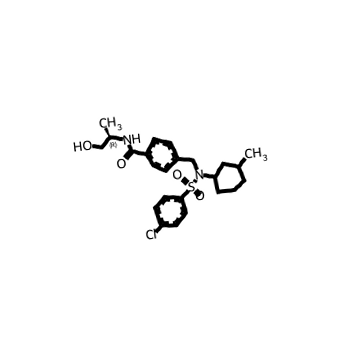 CC1CCCC(N(Cc2ccc(C(=O)N[C@H](C)CO)cc2)S(=O)(=O)c2ccc(Cl)cc2)C1